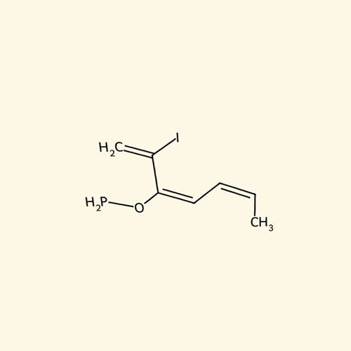 C=C(I)/C(=C\C=C/C)OP